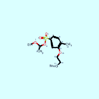 CCOC(C)OS(=O)(=O)c1ccc(C)c(OCCOC)c1